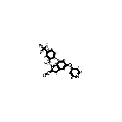 O=C=C1Cc2cc(Oc3ccncc3)ccc2N1Nc1cccc(C(F)(F)F)c1